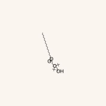 CCCCCCCCCCCCCCCCCCOC(=O)CCc1cc(C(C)(C)C)c(CCO)c(C(C)(C)C)c1